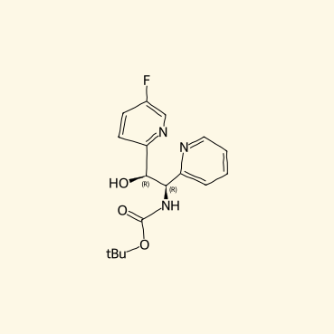 CC(C)(C)OC(=O)N[C@H](c1ccccn1)[C@@H](O)c1ccc(F)cn1